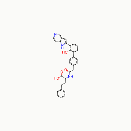 O=C(Cc1ccc(-c2cccc(-c3cc4cnccc4[nH]3)c2O)cc1)NC(CCc1ccccc1)C(=O)O